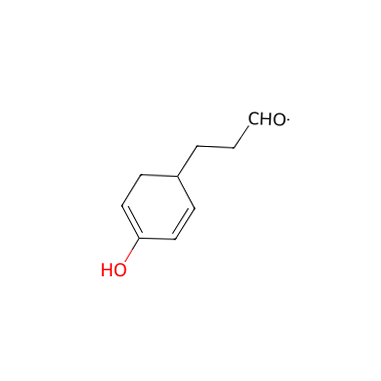 O=[C]CCC1C=CC(O)=CC1